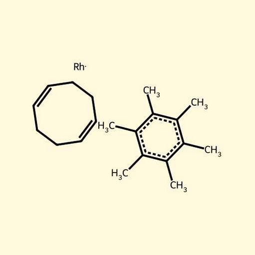 C1=C\CC/C=C\CC/1.Cc1c(C)c(C)c(C)c(C)c1C.[Rh]